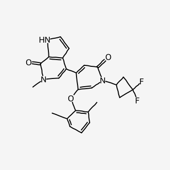 Cc1cccc(C)c1Oc1cn(C2CC(F)(F)C2)c(=O)cc1-c1cn(C)c(=O)c2[nH]ccc12